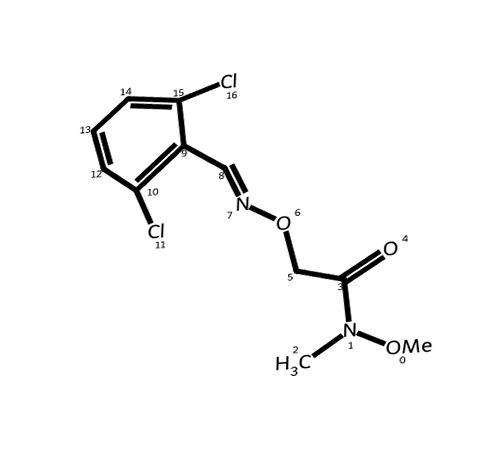 CON(C)C(=O)CON=Cc1c(Cl)cccc1Cl